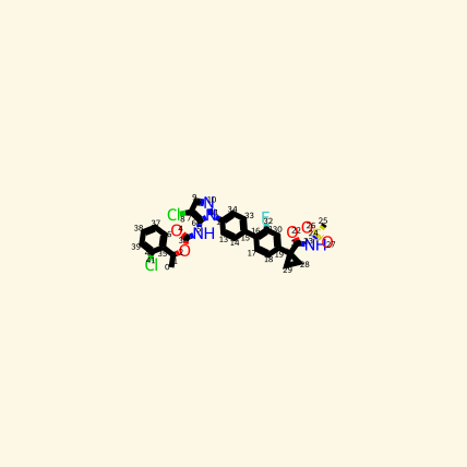 CC(OC(=O)Nc1c(Cl)cnn1-c1ccc(-c2ccc(C3(C(=O)NS(C)(=O)=O)CC3)cc2F)cc1)c1ccccc1Cl